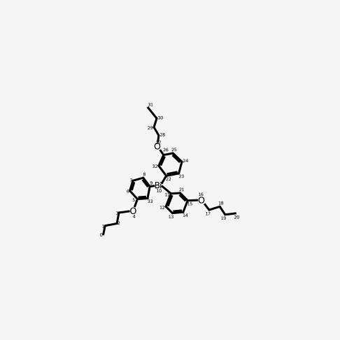 CCCCOc1ccc[c]([Bi]([c]2cccc(OCCCC)c2)[c]2cccc(OCCCC)c2)c1